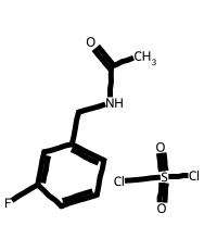 CC(=O)NCc1cccc(F)c1.O=S(=O)(Cl)Cl